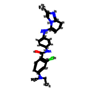 CN(CC(F)(F)F)c1ccc(C(=O)Nc2ccc(Nc3cccc4nc(C(F)(F)F)cn34)cc2)c(Cl)c1